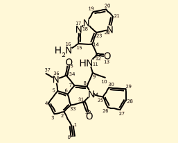 C#Cc1ccc2c3c(c(C(C)NC(=O)c4c(N)nn5cccnc45)n(-c4ccccc4)c(=O)c13)C(=O)N2C